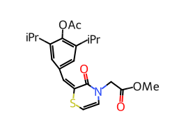 COC(=O)CN1C=CSC(=Cc2cc(C(C)C)c(OC(C)=O)c(C(C)C)c2)C1=O